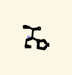 CC(C)(C)/C=C(/C(=O)C(C)(C)C)n1ccnc1